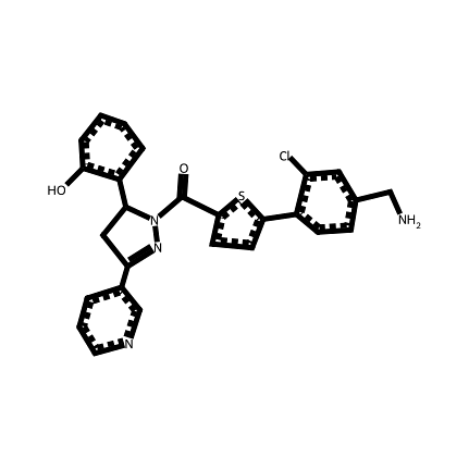 NCc1ccc(-c2ccc(C(=O)N3N=C(c4cccnc4)CC3c3ccccc3O)s2)c(Cl)c1